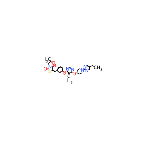 CCc1cnc(N2CCC(Oc3ncnc(Oc4cccc(/C=C5/SC(=O)N(CC(C)=O)C5=O)c4)c3C)CC2)nc1